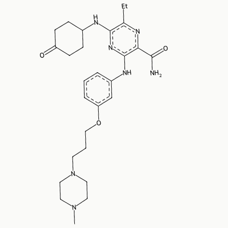 CCc1nc(C(N)=O)c(Nc2cccc(OCCCN3CCN(C)CC3)c2)nc1NC1CCC(=O)CC1